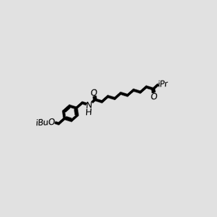 CC(C)COCc1ccc(CNC(=O)CCCCCCCCC(=O)C(C)C)cc1